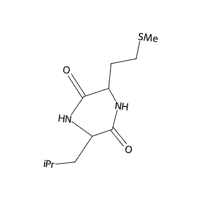 CSCCC1NC(=O)C(CC(C)C)NC1=O